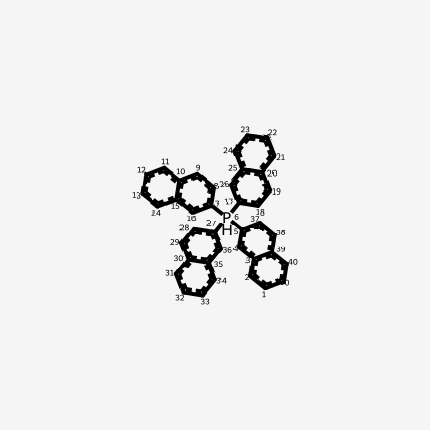 c1ccc2cc([PH](c3ccc4ccccc4c3)(c3ccc4ccccc4c3)c3ccc4ccccc4c3)ccc2c1